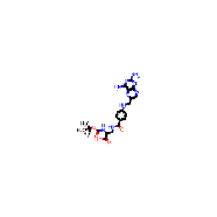 CC(C)(C)OC(=O)NC(CNC(=O)c1ccc(NCc2cnc3nc(N)nc(N)c3n2)cc1)C(=O)O